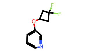 FC1(F)CC(Oc2cccnc2)C1